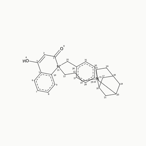 O=C1C=C(O)c2ccccc2[N+]1(CCCN1C2CC3CC(C2)CC1C3)Cc1ccccc1